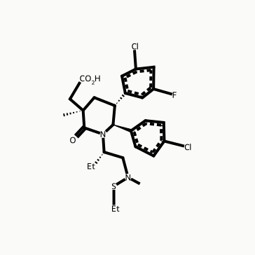 CCSN(C)C[C@H](CC)N1C(=O)[C@@](C)(CC(=O)O)C[C@H](c2cc(F)cc(Cl)c2)[C@H]1c1ccc(Cl)cc1